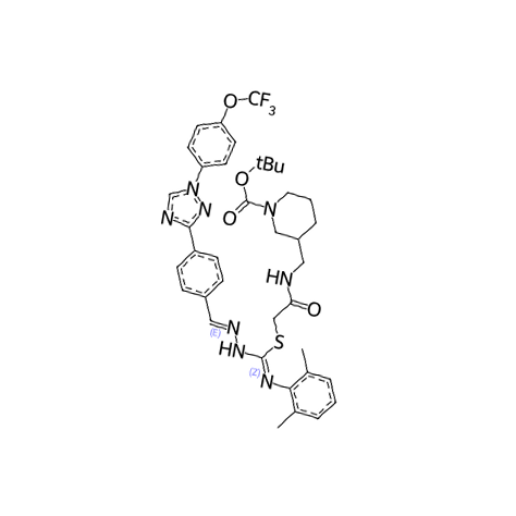 Cc1cccc(C)c1/N=C(/N/N=C/c1ccc(-c2ncn(-c3ccc(OC(F)(F)F)cc3)n2)cc1)SCC(=O)NCC1CCCN(C(=O)OC(C)(C)C)C1